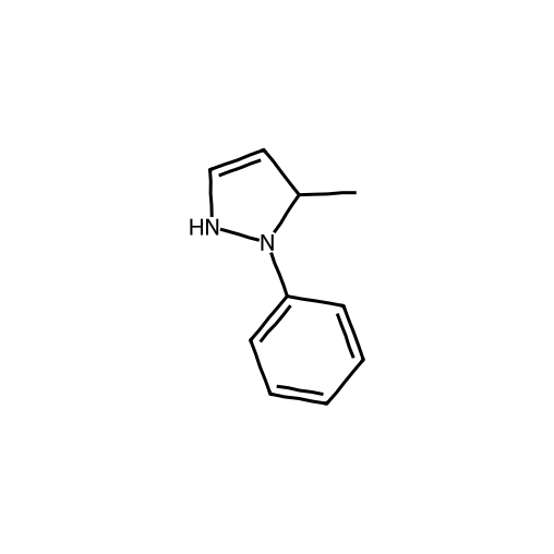 CC1C=CNN1c1ccccc1